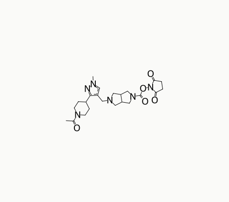 CC(=O)N1CCC(c2nn(C)cc2CN2CC3CN(C(=O)ON4C(=O)CCC4=O)CC3C2)CC1